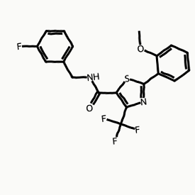 COc1ccccc1-c1nc(C(F)(F)F)c(C(=O)NCc2cccc(F)c2)s1